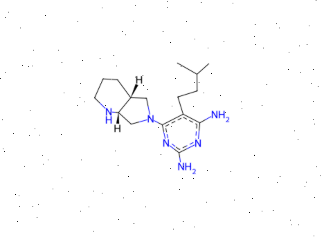 CC(C)CCc1c(N)nc(N)nc1N1C[C@H]2CCCN[C@H]2C1